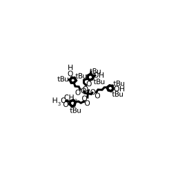 CC(C)(C)c1cc(CCCC(=O)OCC(COC(=O)CCc2cc(C(C)(C)C)c(O)c(C(C)(C)C)c2)(COC(=O)CCc2cc(C(C)(C)C)c(O)c(C(C)(C)C)c2)COC(=O)CCc2cc(C(C)(C)C)c3c(c2)C(C)(C)O3)cc(C(C)(C)C)c1O